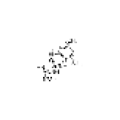 CCc1cc(C)cc(C)c1NC(=O)NC(=N)NC